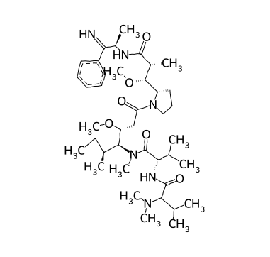 CC[C@H](C)[C@@H]([C@@H](CC(=O)N1CCC[C@H]1[C@H](OC)[C@@H](C)C(=O)N[C@H](C)C(=N)c1ccccc1)OC)N(C)C(=O)[C@@H](NC(=O)C(C(C)C)N(C)C)C(C)C